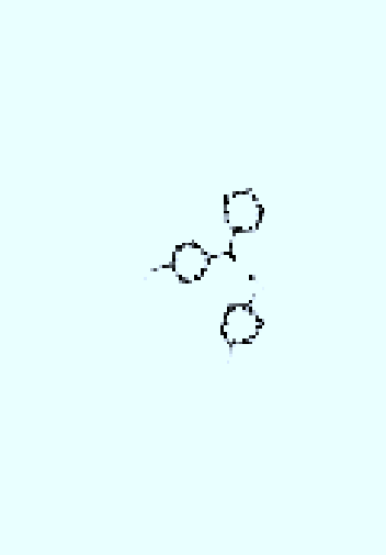 CCOc1ccc(C(=C=Nc2ccc(C)cc2)c2ccccc2)cc1